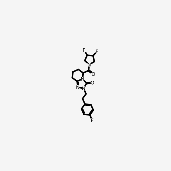 O=C(C1CCCc2nn(CCc3ccc(F)cc3)c(=O)n21)N1CC(F)C(F)C1